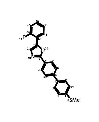 CSc1ccc(-c2ccc(-c3ncc(-c4ccccc4F)o3)cc2)cc1